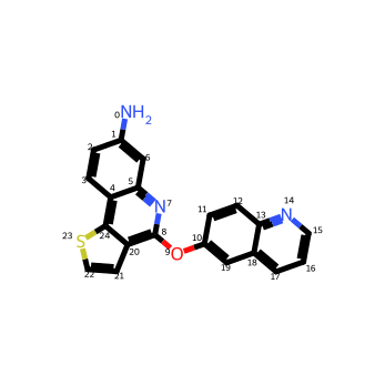 Nc1ccc2c(c1)nc(Oc1ccc3ncccc3c1)c1ccsc12